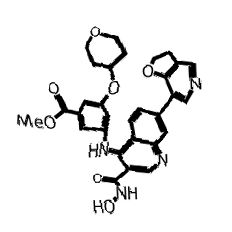 COC(=O)c1cc(Nc2c(C(=O)NO)cnc3cc(-c4cncc5c4OCC5)ccc23)cc(OC2CCOCC2)c1